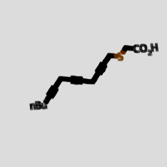 CCCCC#CCC#CCC#CCSCC(=O)O